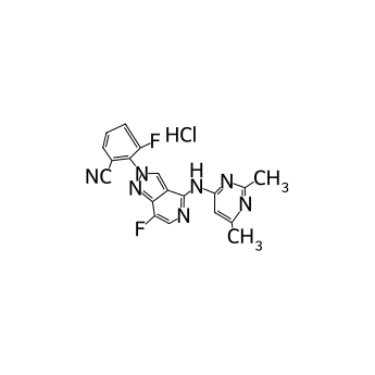 Cc1cc(Nc2ncc(F)c3nn(-c4c(F)cccc4C#N)cc23)nc(C)n1.Cl